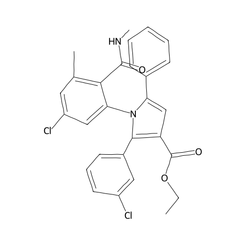 CCOC(=O)c1cc(-c2ccccc2)n(-c2cc(Cl)cc(C)c2C(=O)NC)c1-c1cccc(Cl)c1